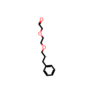 O=CCOCCOC[CH]Cc1ccccc1